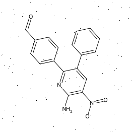 Nc1nc(-c2ccc(C=O)cc2)c(-c2ccccc2)cc1[N+](=O)[O-]